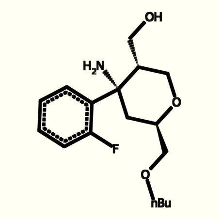 CCCCOC[C@H]1C[C@@](N)(c2ccccc2F)[C@H](CO)CO1